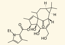 CCn1c(C)cc(C)c1C(=O)O[C@H]1C(C)=CC23C(=O)[C@@H](C=C(CO)[C@@H](O)[C@]12O)[C@H]1[C@@H](CC3C)C1(C)C